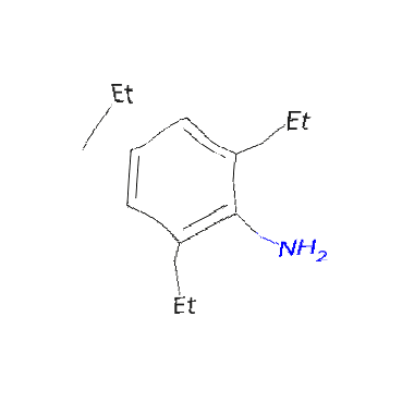 CCC.CCc1cccc(CC)c1N